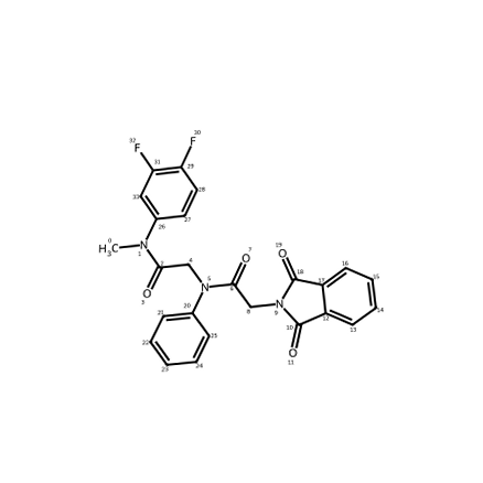 CN(C(=O)CN(C(=O)CN1C(=O)c2ccccc2C1=O)c1ccccc1)c1ccc(F)c(F)c1